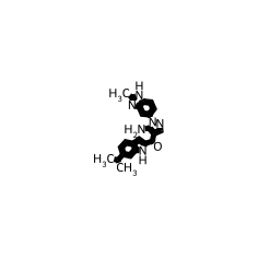 Cc1nc2cc(-n3ncc(C(=O)c4cc5ccc(C(C)C)cc5[nH]4)c3N)ccc2[nH]1